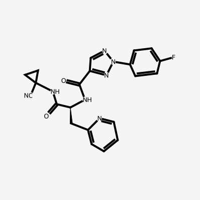 N#CC1(NC(=O)[C@H](Cc2ccccn2)NC(=O)c2cnn(-c3ccc(F)cc3)n2)CC1